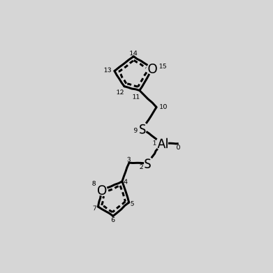 [CH3][Al]([S]Cc1ccco1)[S]Cc1ccco1